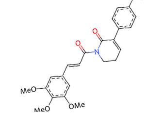 COc1cc(C=CC(=O)N2CCC=C(c3ccc(C(F)(F)F)cc3)C2=O)cc(OC)c1OC